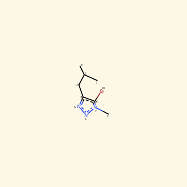 CC(C)Cc1nnn(C)c1Br